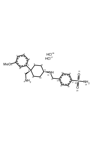 COc1cccc([C@]2(CN)CC[C@@H](NCc3ccc(S(N)(=O)=O)cc3)CC2)c1.Cl.Cl